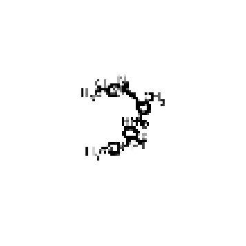 Cc1ccc(C(=O)Nc2ccc(CN3CCN(C)CC3)c(C(F)(F)F)c2)cc1C#Cc1cnc2cc(C(C)C)ccn12